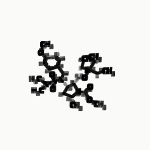 CC[Si](CC)(CC)OC[C@H]1[C@@H](N(Cc2ccc(OC)cc2)S(=O)(=O)N(C)C)C[C@@H](C)N1C(=O)OC